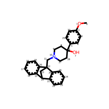 COc1ccc(C2(O)CCN(CC34CC(c5ccccc53)c3ccccc34)CC2)cc1